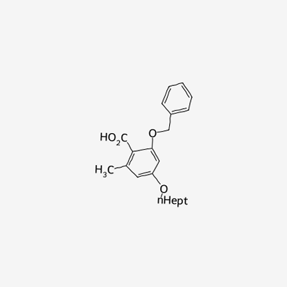 CCCCCCCOc1cc(C)c(C(=O)O)c(OCc2ccccc2)c1